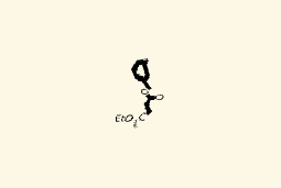 CCOC(=O)CCC(=O)OCc1ccccc1